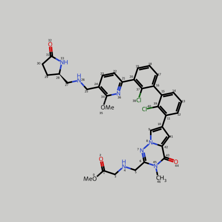 COC(=O)CNCc1nn2cc(-c3cccc(-c4cccc(-c5ccc(CNC[C@H]6CCC(=O)N6)c(OC)n5)c4Cl)c3Cl)cc2c(=O)n1C